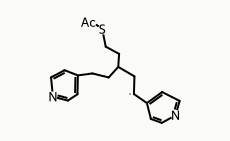 CC(=O)SCCC(C[CH]c1ccncc1)CCc1ccncc1